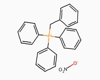 O=[N+]([O-])[O-].c1ccc(C[P+](c2ccccc2)(c2ccccc2)c2ccccc2)cc1